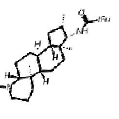 C[C@H]1C[C@H]2[C@@H]3CC[C@H]4N(C)CCC[C@]4(C)[C@H]3CC[C@]2(C)[C@H]1NC(=O)C(C)(C)C